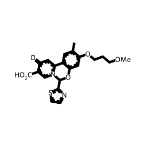 COCCCOc1cc2c(cc1C)-c1cc(=O)c(C(=O)O)cn1C(c1nccs1)O2